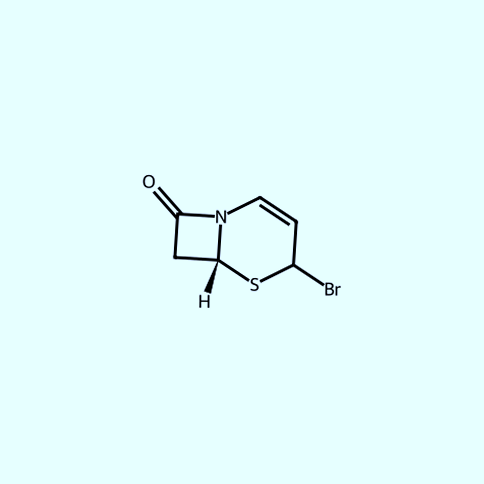 O=C1C[C@H]2SC(Br)C=CN12